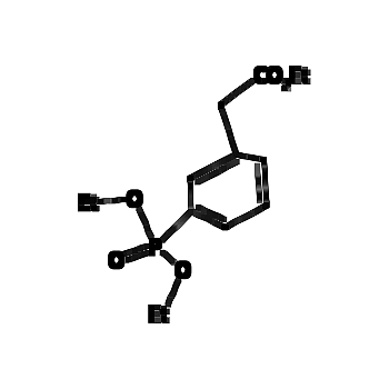 CCOC(=O)Cc1cccc(P(=O)(OCC)OCC)c1